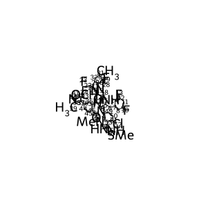 CNc1c(-n2c(C(Cc3cc(F)cc(F)c3)NC(=O)Cn3nc(C(F)F)c4c3C(F)(F)C(C)C4)nc3cc(-c4c(C)noc4C)ccc3c2=O)ccc(Cl)c1C(=N)NSC